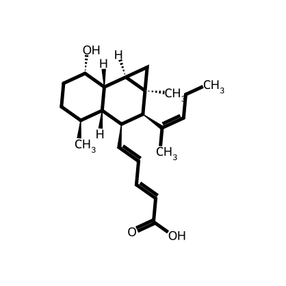 CC/C=C(/C)[C@H]1[C@@H](/C=C/C=C/C(=O)O)[C@H]2[C@@H]([C@H]3C[C@]31C)[C@@H](O)CC[C@@H]2C